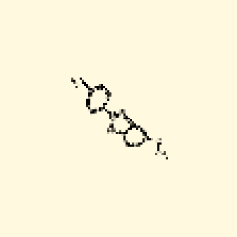 COc1ccc2nn(-c3ccc(N)cc3)nc2c1